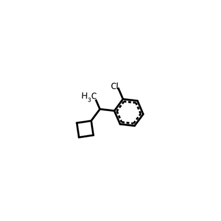 CC(c1ccccc1Cl)C1CCC1